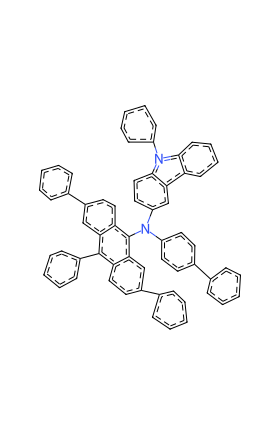 c1ccc(-c2ccc(N(c3ccc4c(c3)c3ccccc3n4-c3ccccc3)c3c4ccc(-c5ccccc5)cc4c(-c4ccccc4)c4ccc(-c5ccccc5)cc34)cc2)cc1